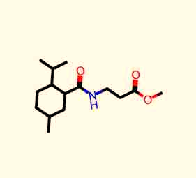 COC(=O)CCNC(=O)C1CC(C)CCC1C(C)C